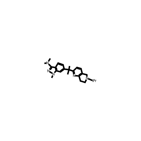 CC(C)N1CCc2nc(C(C)(C)c3ccc4c(N(C)C)nn(C)c4c3)ccc2C1